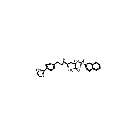 O=C(CC(NS(=O)(=O)c1ccc2ccccc2c1)C(=O)O)NCCc1ccc(C2=NCCN2)cc1